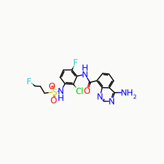 Nc1ncnc2c(C(=O)Nc3c(F)ccc(NS(=O)(=O)CCCF)c3Cl)cccc12